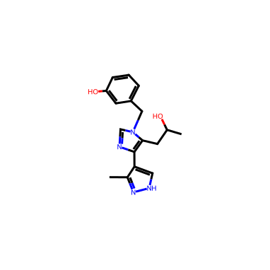 Cc1n[nH]cc1-c1ncn(Cc2cccc(O)c2)c1CC(C)O